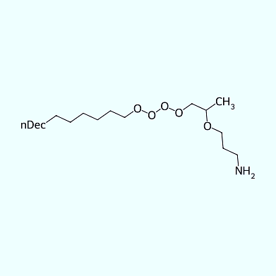 CCCCCCCCCCCCCCCCOOOOCC(C)OCCCN